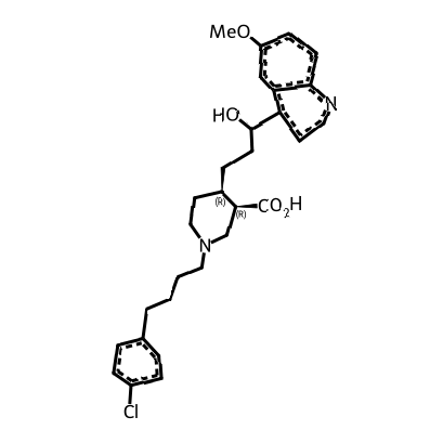 COc1ccc2nccc(C(O)CC[C@@H]3CCN(CCCCc4ccc(Cl)cc4)C[C@@H]3C(=O)O)c2c1